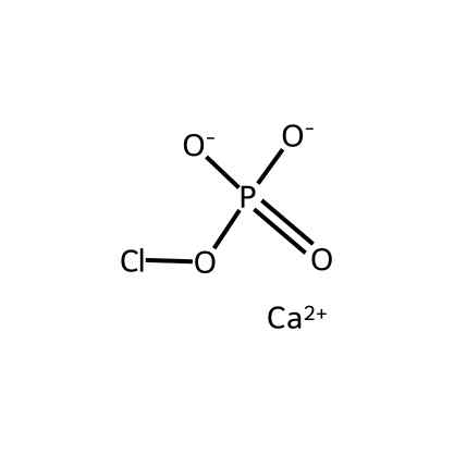 O=P([O-])([O-])OCl.[Ca+2]